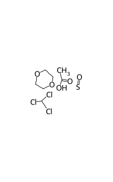 C1COCCO1.CC(=O)O.ClC(Cl)Cl.O=S